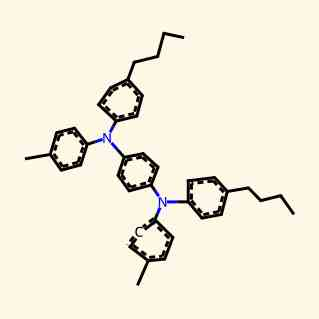 CCCCc1ccc(N(c2ccc(C)cc2)c2ccc(N(c3ccc(C)cc3)c3ccc(CCCC)cc3)cc2)cc1